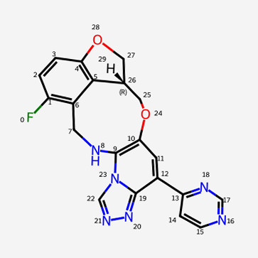 Fc1ccc2c3c1CNc1c(cc(-c4ccncn4)c4nncn14)OC[C@H]3CO2